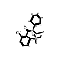 CCN(C(=O)c1c(Cl)cccc1[Si](C)(C)C)c1ccccc1